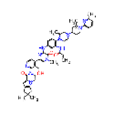 C=CC(=O)Nc1cc(Nc2nc(-c3ccnc(N4CCn5c(cc6c5CC(C)(C)C6)C4=O)c3CO)cn(C)c2=O)ccc1N1CCN(C2CCN(c3cccc(C)n3)[C@H](C)C2)C[C@@H]1C